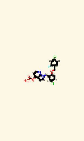 O=C(O)Oc1ccnc2c1ccn2Cc1cc(Cl)ccc1OCc1ccc(Cl)cc1F